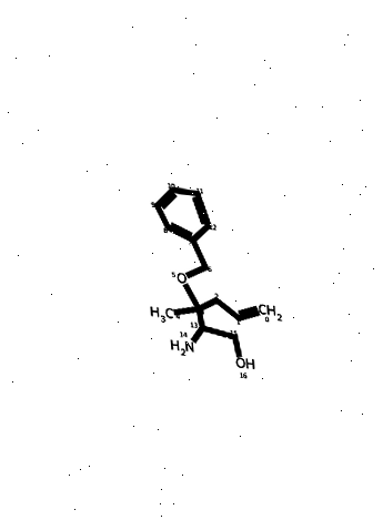 C=CCC(C)(OCc1ccccc1)C(N)CO